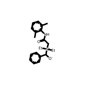 CC[N+](CC)(CC(=O)Nc1c(C)cccc1C)C([O-])c1ccccc1